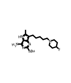 CCCCc1nc(N)c2[nH]c(C)c(CCCCCN3CCC(F)CC3)c2n1